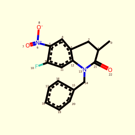 CC1Cc2cc([N+](=O)[O-])c(F)cc2N(Cc2ccccc2)C1=O